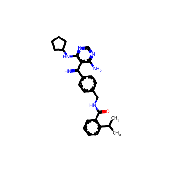 CC(C)c1ccccc1C(=O)NCc1ccc(C(=N)c2c(N)ncnc2NC2CCCC2)cc1